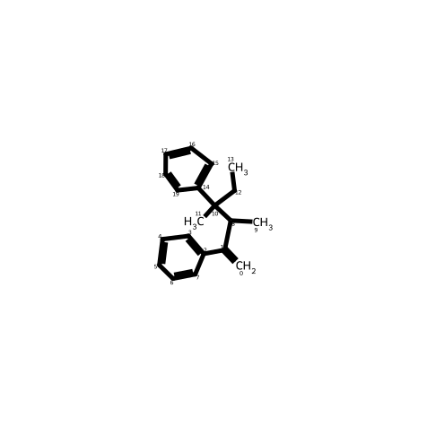 C=C(c1ccccc1)C(C)C(C)(CC)c1ccccc1